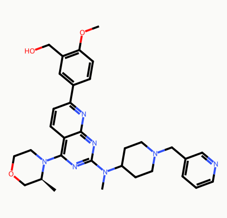 COc1ccc(-c2ccc3c(N4CCOC[C@@H]4C)nc(N(C)C4CCN(Cc5cccnc5)CC4)nc3n2)cc1CO